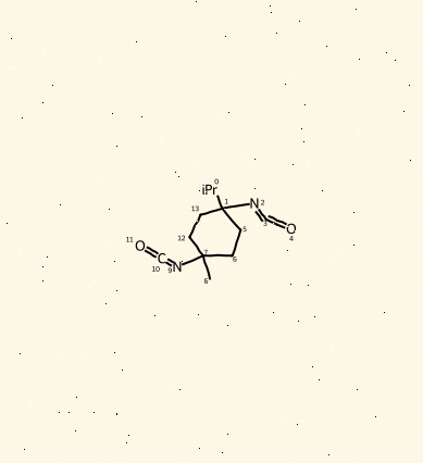 CC(C)C1(N=C=O)CCC(C)(N=C=O)CC1